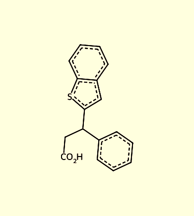 O=C(O)CC(c1ccccc1)c1cc2ccccc2s1